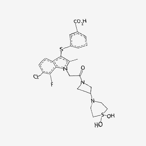 Cc1c(Sc2cccc(C(=O)O)c2)c2ccc(Cl)c(F)c2n1CC(=O)N1CC(N2CCS(O)(O)CC2)C1